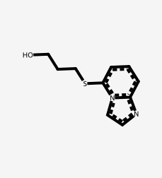 OCCCSc1cccc2nccn12